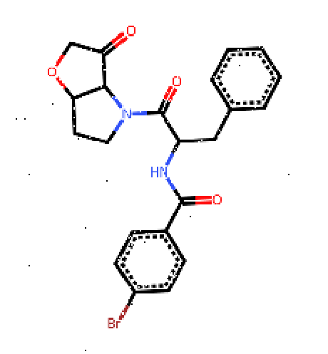 O=C(NC(Cc1ccccc1)C(=O)N1CCC2OCC(=O)C21)c1ccc(Br)cc1